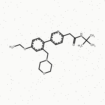 CCOc1ccc(-c2ccc(CC(=O)NC(C)(C)C)nc2)c(CN2CCOCC2)c1